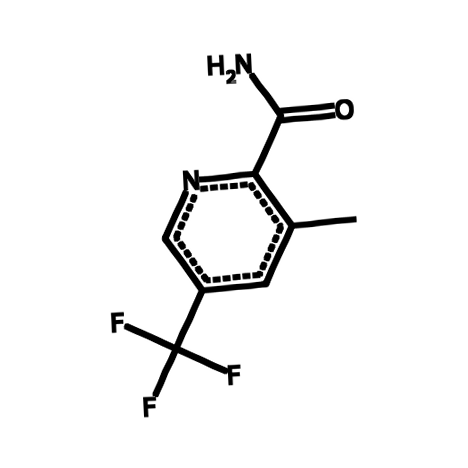 Cc1cc(C(F)(F)F)cnc1C(N)=O